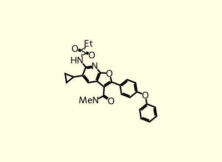 CCS(=O)(=O)Nc1nc2oc(-c3ccc(Oc4ccccc4)cc3)c(C(=O)NC)c2cc1C1CC1